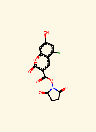 O=C(ON1C(=O)CCC1=O)c1cc2c(F)cc(O)cc2oc1=O